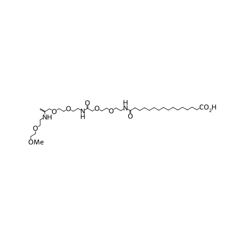 C=C(COCCOCCNC(=O)COCCOCCNC(=O)CCCCCCCCCCCCCCC(=O)O)NCCOCCOC